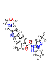 Cc1ccc(-n2nc(C(C)(C)C)cc2NC(=O)C(=O)c2ccc(-c3ccc(CN4CCOCC4)nc3)c3ccccc23)cc1